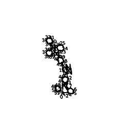 CC1(C)c2ccccc2N(c2ccc(-c3cn(-c4ccc(N5c6ccccc6N(c6ccccc6)c6ccccc65)cc4)nn3)cc2)c2ccccc21